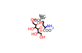 NC(CCC(=O)[O-])C(=O)[O-].OCC(O)C(O)C(O)C(O)CO.[Na+].[Na+]